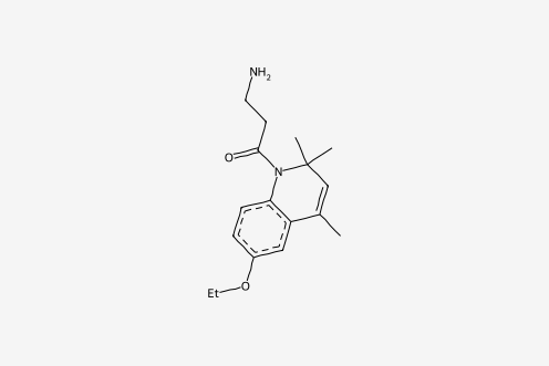 CCOc1ccc2c(c1)C(C)=CC(C)(C)N2C(=O)CCN